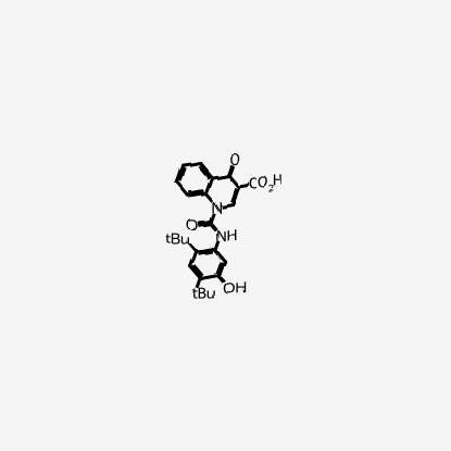 CC(C)(C)c1cc(C(C)(C)C)c(NC(=O)n2cc(C(=O)O)c(=O)c3ccccc32)cc1O